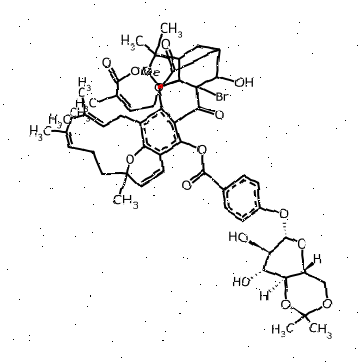 COC(=O)/C(C)=C\CC12OC(C)(C)C3CC(C1=O)C(O)C1(Br)C(=O)c4c(OC(=O)c5ccc(O[C@@H]6O[C@@H]7COC(C)(C)O[C@H]7[C@H](O)[C@H]6O)cc5)c5c(c(CC=C(C)C)c4OC321)OC(C)(CCC=C(C)C)C=C5